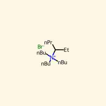 CCCC[N+](CCCC)(CCCC)C(CC)CCC.[Br-]